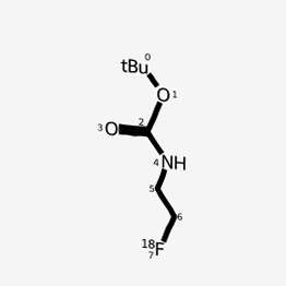 CC(C)(C)OC(=O)NCC[18F]